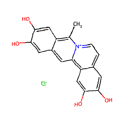 Cc1c2cc(O)c(O)cc2cc2c3cc(O)c(O)cc3cc[n+]12.[Cl-]